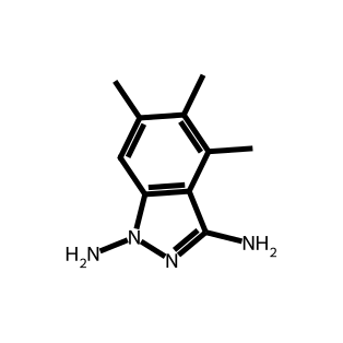 Cc1cc2c(c(N)nn2N)c(C)c1C